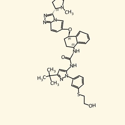 CN1CCC[C@H]1c1nnc2ccc(O[C@@H]3CC[C@H](NC(=O)Nc4cc(C(C)(C)C)nn4-c4cccc(SCCO)c4)c4ccccc43)cn12